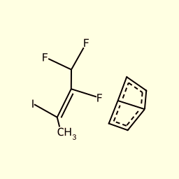 CC(I)=C(F)C(F)F.c1cc2ccc1-2